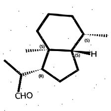 CC(C=O)[C@H]1CC[C@H]2[C@@H](C)CCC[C@]12C